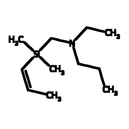 C/C=C\[Si](C)(C)CN(CC)CCC